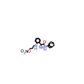 N=C(C(=O)NC12CC3CC(CC1C3)C2)c1ccccc1NCCCO[N+](=O)[O-]